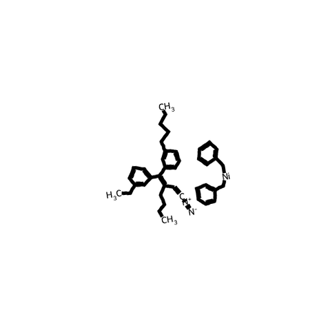 CCCCCc1cccc(C(=C(C=C=[N+]=[N-])CCCC)c2cccc(CC)c2)c1.c1ccc([CH2][Ni][CH2]c2ccccc2)cc1